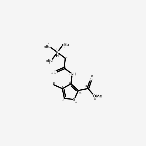 CCCC[PH](CCCC)(CCCC)CC(=O)Nc1c(C)csc1C(=O)OC